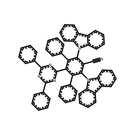 N#Cc1c(-n2c3ccccc3c3ccccc32)c(-c2ccccc2)c(-c2nc(-c3ccccc3)nc(-c3ccccc3)n2)c(-c2ccccc2)c1-n1c2ccccc2c2ccccc21